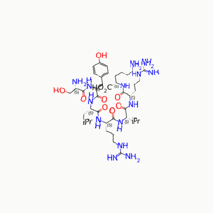 CC(C)C[C@H](NC(=O)[C@H](Cc1ccc(O)cc1)NC(=O)[C@@H](N)CO)C(=O)N[C@@H](CCCNC(=N)N)C(=O)N[C@H](C(=O)N[C@@H](CCCNC(=N)N)C(=O)N[C@@H](CCCCN)C(=O)O)C(C)C